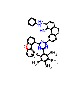 Bc1c(B)c(B)c(-c2nc(-c3ccc4c(c3)C3=C(C=C/C(=N/Nc5ccccc5)C3=N)CC4)nc(-c3cccc4oc5ccccc5c34)n2)c(B)c1B